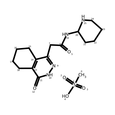 CS(=O)(=O)O.O=C(Cc1n[nH]c(=O)c2c1CCCC2)NC1CCCCN1